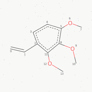 C=Cc1ccc(OC)c(OC)c1OC